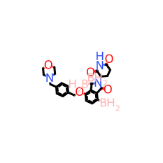 Bc1ccc(OCc2ccc(CN3CCOCC3)cc2)c2c1C(=O)N(C1CCC(=O)NC1=O)C2(B)B